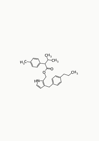 CCCc1ccc(Cc2cc[nH]c2COC(=O)C(c2ccc(C)cc2)C(C)C)cc1